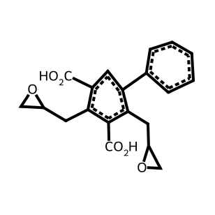 O=C(O)c1cc(-c2ccccc2)c(CC2CO2)c(C(=O)O)c1CC1CO1